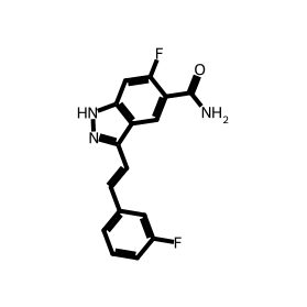 NC(=O)c1cc2c(C=Cc3cccc(F)c3)n[nH]c2cc1F